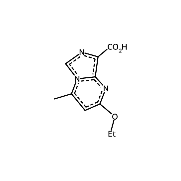 CCOc1cc(C)n2cnc(C(=O)O)c2n1